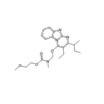 CCc1c(C(C)CC)nc2nc3ccccc3n2c1OCN(C)C(=O)OCCOC